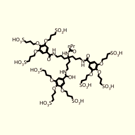 CCCC(=O)NC(CCCNC(=O)c1cc(OCCCS(=O)(=O)O)c(OCCCS(=O)(=O)O)c(OCCCS(=O)(=O)O)c1)(CCCNC(=O)c1cc(OCCCS(=O)(=O)O)c(OCCCS(=O)(=O)O)c(OCCCS(=O)(=O)O)c1)CCCNC(O)c1cc(OCCCS(=O)(=O)O)c(OCCCS(=O)(=O)O)c(OCCCS(=O)(=O)O)c1